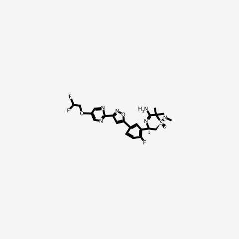 CN=[S@@]1(=O)C[C@@](C)(c2cc(-c3cc(-c4ncc(OCC(F)F)cn4)no3)ccc2F)N=C(N)C1(C)C